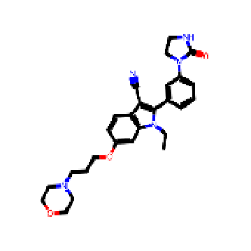 CCn1c(-c2cccc(N3CCNC3=O)c2)c(C#N)c2ccc(OCCCN3CCOCC3)cc21